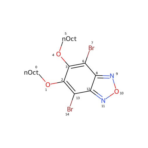 CCCCCCCCOc1c(OCCCCCCCC)c(Br)c2nonc2c1Br